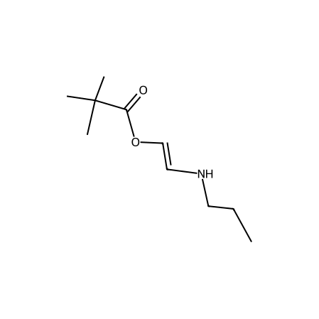 CCCN/C=C/OC(=O)C(C)(C)C